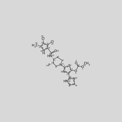 COC(=O)Oc1sc(N2CC[C@@H](NC(=O)c3[nH]c(C)c(Cl)c3Cl)[C@@H](F)C2)nc1-c1ncc[nH]1